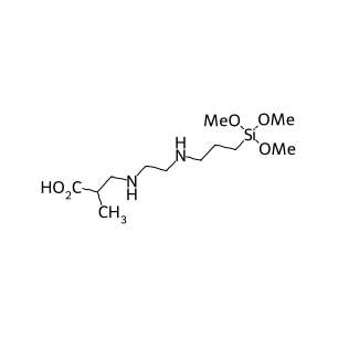 CO[Si](CCCNCCNCC(C)C(=O)O)(OC)OC